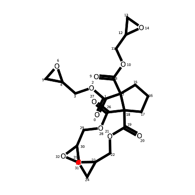 O=C(OCC1CO1)C1(C(=O)OCC2CO2)CCCC1(C(=O)OCC1CO1)C(=O)OCC1CO1